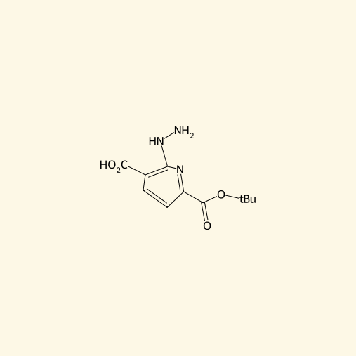 CC(C)(C)OC(=O)c1ccc(C(=O)O)c(NN)n1